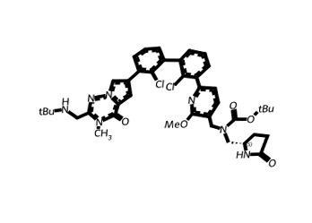 COc1nc(-c2cccc(-c3cccc(-c4cc5c(=O)n(C)c(CNC(C)(C)C)nn5c4)c3Cl)c2Cl)ccc1CN(C[C@@H]1CCC(=O)N1)C(=O)OC(C)(C)C